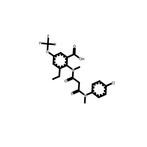 CCc1cc(OC(F)(F)F)cc(C(=O)O)c1N(C)C(=O)CC(=S)N(C)c1ccc(Cl)cc1